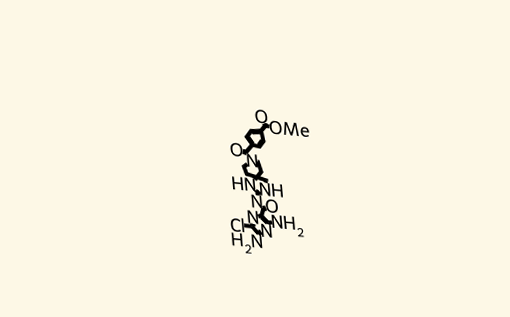 COC(=O)c1ccc(C(=O)N2CCC3(CC2)CN/C(=N\C(=O)c2nc(Cl)c(N)nc2N)N3)cc1